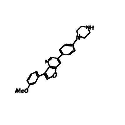 COc1cccc(-c2coc3cc(-c4ccc(N5CCNCC5)cc4)cnc23)c1